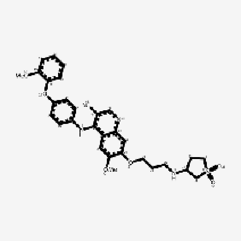 COc1cc2c(Nc3ccc(Oc4ccccc4OC)cc3)c(C#N)cnc2cc1OCCCNC1CCS(=O)(=O)C1